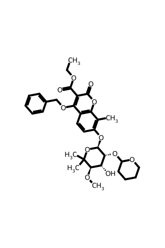 CCOC(=O)c1c(OCc2ccccc2)c2ccc(O[C@@H]3OC(C)(C)[C@H](OC)[C@@H](O)[C@H]3OC3CCCCO3)c(C)c2oc1=O